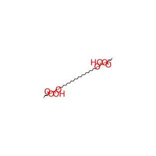 CC=CC(=O)OCC(O)COCCCCCCCCCCCCCCCCCCCCOCC(O)COC(=O)C=CC